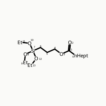 CCCCCCCC(=O)OCCC[Si](OCC)(OCC)OCC